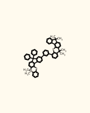 CC1(C)c2cccc(-c3cccc(-c4ccc5c(c4)C(c4ccccc4)(c4ccccc4)c4ccc6c(c4-5)Sc4ccccc4[Si]6(C)C)c3)c2Sc2c1ccc1c2-c2ccccc2C1(C)C